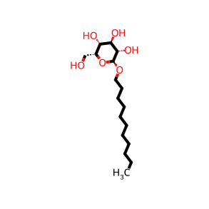 CCCCCCCCCCCO[C@H]1O[C@H](CO)[C@H](O)[C@@H](O)[C@@H]1O